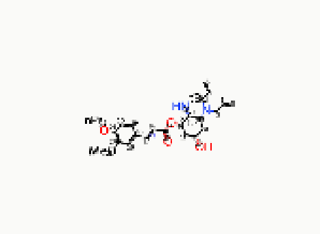 C=CCN(CC=C)[C@@H]1C[C@H](O)C[C@@H](OC(=O)/C=C/c2ccc(OCCC)c(OC)c2)[C@H]1NC(C)(C)C